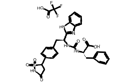 O=C(O)C(F)(F)F.O=C1CC(c2ccc(C[C@H](NC(=O)N[C@@H](Cc3ccccc3)C(=O)O)c3nc4ccccc4[nH]3)cc2)S(=O)(=O)N1